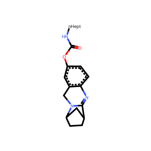 CCCCCCCNC(=O)Oc1ccc2c(c1)CN1C(=N2)C2CCC1C2